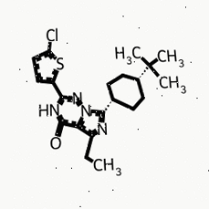 CCc1nc([C@H]2CC[C@@H](C(C)(C)C)CC2)n2nc(-c3ccc(Cl)s3)[nH]c(=O)c12